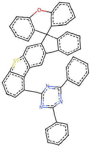 c1ccc(-c2nc(-c3ccccc3)nc(-c3cccc4sc5cc6c(cc5c34)-c3ccccc3C63c4ccccc4Oc4ccccc43)n2)cc1